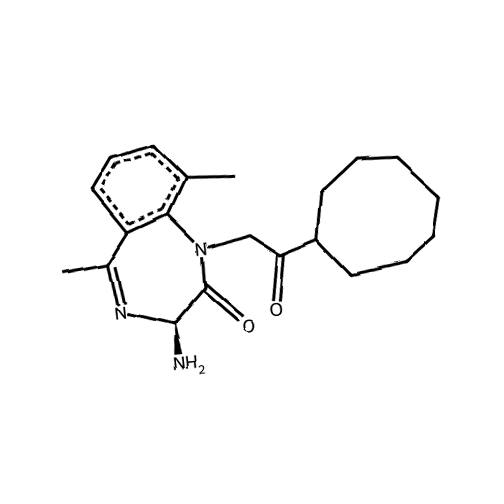 CC1=N[C@H](N)C(=O)N(CC(=O)C2CCCCCCC2)c2c(C)cccc21